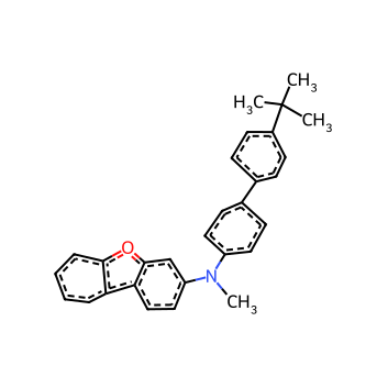 CN(c1ccc(-c2ccc(C(C)(C)C)cc2)cc1)c1ccc2c(c1)oc1ccccc12